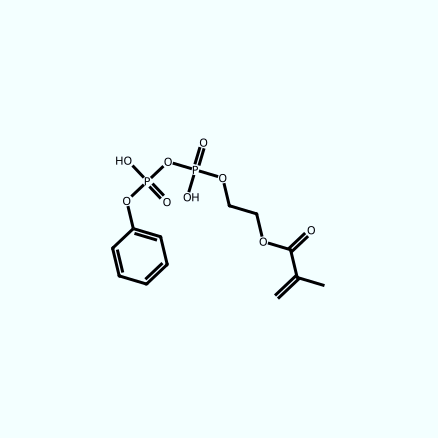 C=C(C)C(=O)OCCOP(=O)(O)OP(=O)(O)Oc1ccccc1